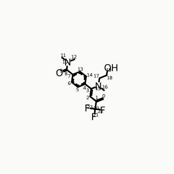 C=C(/C=C(/c1ccc(C(=O)N(C)C)cc1)N(C)CCO)C(F)(F)F